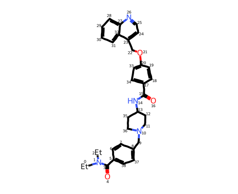 CCN(CC)C(=O)c1ccc(CN2CCC(NC(=O)c3ccc(OCc4ccnc5ccccc45)cc3)CC2)cc1